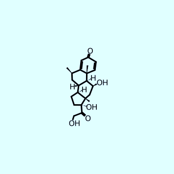 C[C@@H]1C[C@@H]2[C@H]([C@@H](O)C[C@@]3(C)[C@H]2CC[C@]3(O)C(=O)CO)[C@@]2(C)C=CC(=O)C=C12